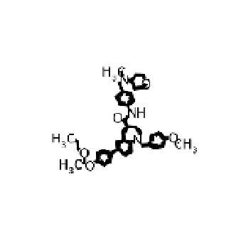 CCCOC(C)Oc1ccc(-c2ccc3c(c2)C=C(C(=O)Nc2ccc(CN(C)C4CCOCC4)cc2)CCN3Cc2ccc(OC)cc2)cc1